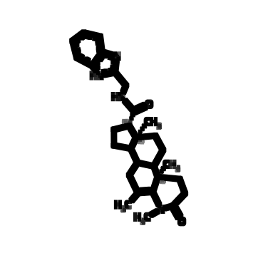 CC1=C2N(C)C(=O)CC[C@]2(C)C2CC[C@@]3(C)C(CC[C@@H]3C(=O)NCc3nc4ccccc4[nH]3)C2C1